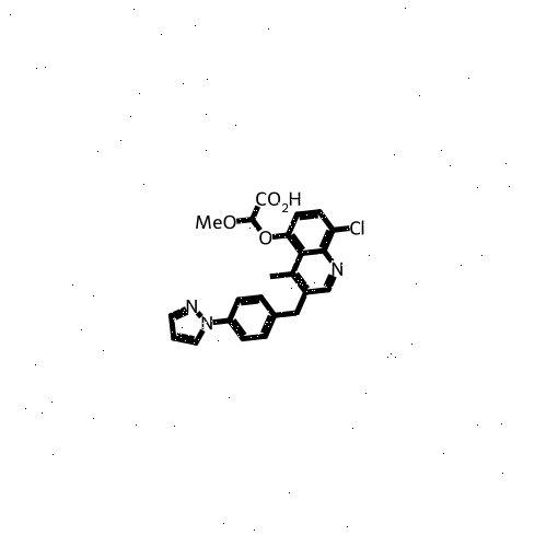 COC(Oc1ccc(Cl)c2ncc(Cc3ccc(-n4cccn4)cc3)c(C)c12)C(=O)O